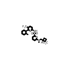 Cc1ccccc1-c1nc(NS(=O)(=O)c2cccc(N(C)CC3(C(=O)O)CCC3)n2)ccc1C(F)(F)F